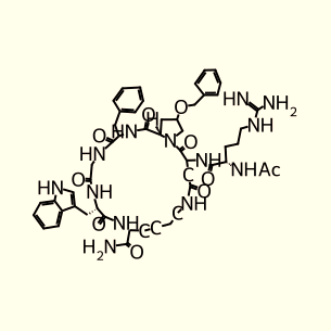 CC(=O)N[C@@H](CCCNC(=N)N)C(=O)NC1CC(=O)NCCCCC(C(N)=O)NC(=O)[C@H](Cc2c[nH]c3ccccc23)NC(=O)CNC(=O)C(Cc2ccccc2)NC(=O)[C@@H]2CC(OCc3ccccc3)CN2C1=O